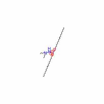 CCCCCCCCC=CCCCCCCCCOCC(COCCCCCCCCC=CCCCCCCCC)OC(=O)NCCN(CCCC)CCCC